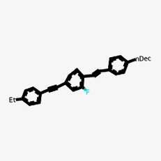 CCCCCCCCCCc1ccc(C#Cc2ccc(C#Cc3ccc(CC)cc3)cc2F)cc1